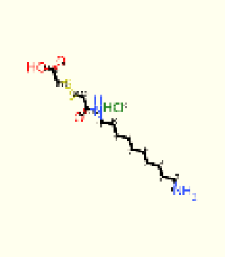 Cl.NCCCCCCCCCCNC(=O)CSSCC(=O)O